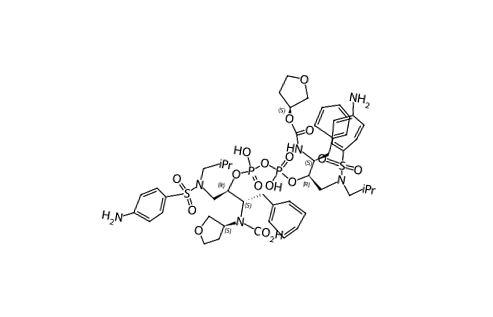 CC(C)CN(C[C@@H](OP(=O)(O)OP(=O)(O)O[C@H](CN(CC(C)C)S(=O)(=O)c1ccc(N)cc1)[C@H](Cc1ccccc1)N(C(=O)O)[C@H]1CCOC1)[C@H](Cc1ccccc1)NC(=O)O[C@H]1CCOC1)S(=O)(=O)c1ccc(N)cc1